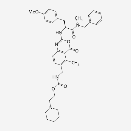 COc1ccc(C[C@H](Nc2nc3ccc(CNC(=O)OCCN4CCCCC4)c(C)c3c(=O)o2)C(=O)N(C)Cc2ccccc2)cc1